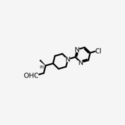 C[C@H](CC=O)C1CCN(c2ncc(Cl)cn2)CC1